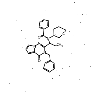 CCC(c1nn2cccc2c(=O)n1Cc1ccccc1)N(C(=O)c1ccccc1)C1CCCCC1